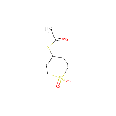 CC(=O)SC1CCS(=O)(=O)CC1